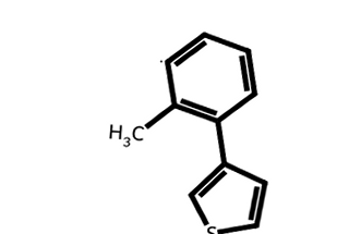 Cc1[c]cccc1-c1ccsc1